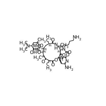 CC[C@H]1OC(=O)[C@H](C)C(=O)[C@H](C)[C@@H](O[C@@H]2O[C@H](C)CC(N(C)C)C2O)[C@](C)(OC)C[C@@H](C)C(=O)N[C@H](C)[C@H]2N(CCCCN)C(=O)O[C@@]12n1ccc(N)nc1=O